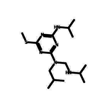 CSc1nc(NC(C)C)nc(N(CNC(C)C)CC(C)C)n1